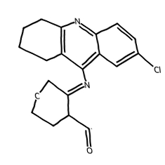 O=[C]C1CCCCC1=Nc1c2c(nc3ccc(Cl)cc13)CCCC2